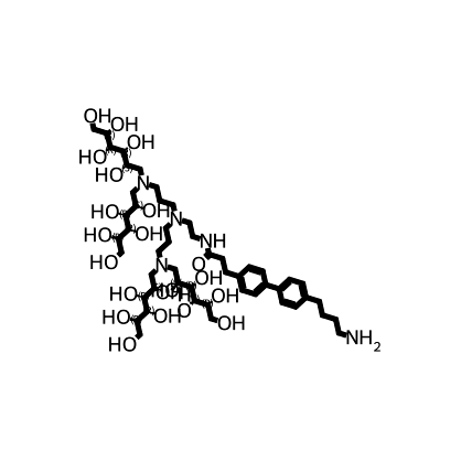 NCCCCc1ccc(-c2ccc(CCC(=O)NCCN(CCCN(C[C@H](O)[C@@H](O)[C@H](O)[C@H](O)CO)C[C@H](O)[C@@H](O)[C@H](O)[C@H](O)CO)CCCN(C[C@H](O)[C@@H](O)[C@H](O)[C@H](O)CO)C[C@H](O)[C@@H](O)[C@H](O)[C@H](O)CO)cc2)cc1